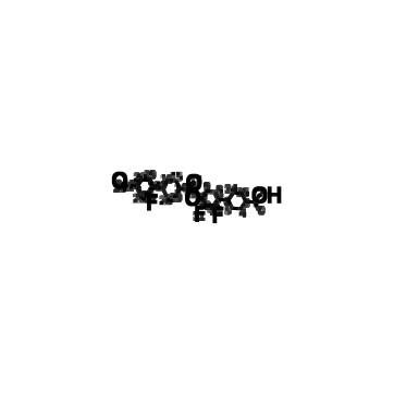 CC(O)C1CCC(c2ccc(OC(=O)C3CCC(c4ccc(C5CO5)cc4F)CC3)c(F)c2F)CC1